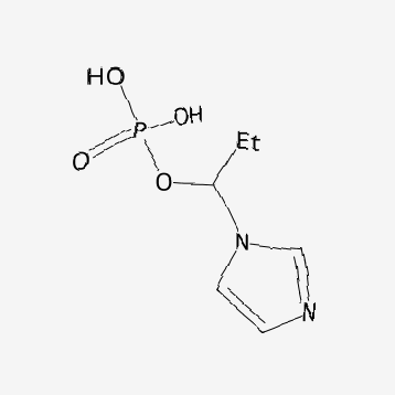 CCC(OP(=O)(O)O)n1ccnc1